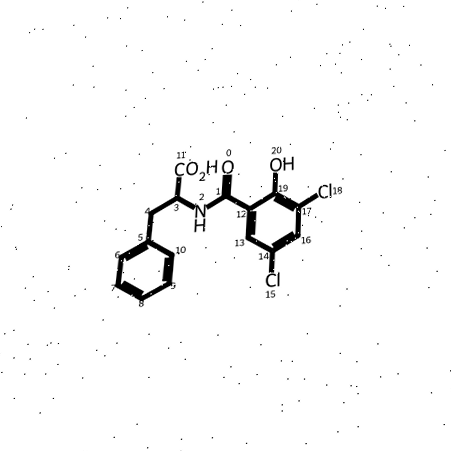 O=C(NC(Cc1ccccc1)C(=O)O)c1cc(Cl)cc(Cl)c1O